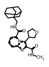 CNC(=O)c1nc2cccc(C(=O)NCC34CC5CC(CC(C5)C3)C4)n2c1C1CCOC1